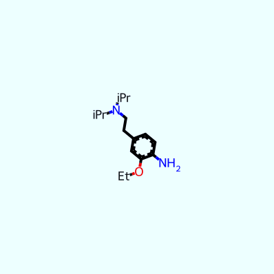 CCOc1cc(CCN(C(C)C)C(C)C)ccc1N